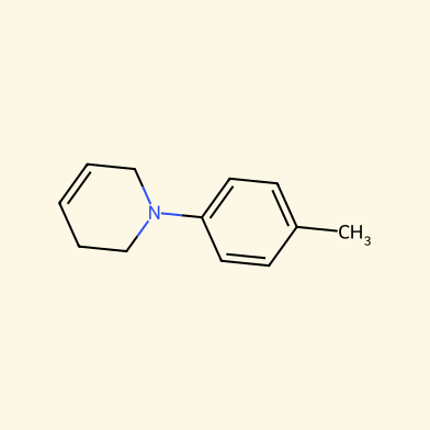 Cc1ccc(N2CC=CCC2)cc1